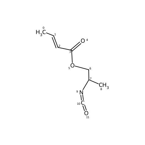 CC=CC(=O)OCC(C)N=C=O